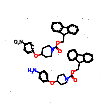 Nc1ccc(OC2CCN(C(=O)OCC3c4ccccc4-c4ccccc43)CC2)cc1.O=C(OCC1c2ccccc2-c2ccccc21)N1CCC(Oc2ccc([N+](=O)[O-])cc2)CC1